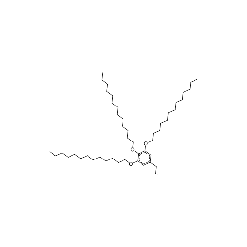 [CH2]Cc1cc(OCCCCCCCCCCCCC)c(OCCCCCCCCCCCCC)c(OCCCCCCCCCCCCC)c1